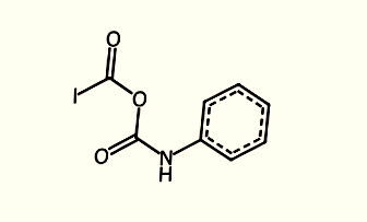 O=C(I)OC(=O)Nc1ccccc1